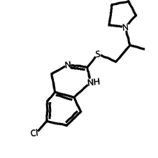 CC(CSC1=NCc2cc(Cl)ccc2N1)N1CCCC1